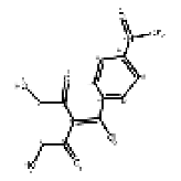 O=C(CO)C(C(=O)CO)=C(O)c1ccc([N+](=O)[O-])cc1